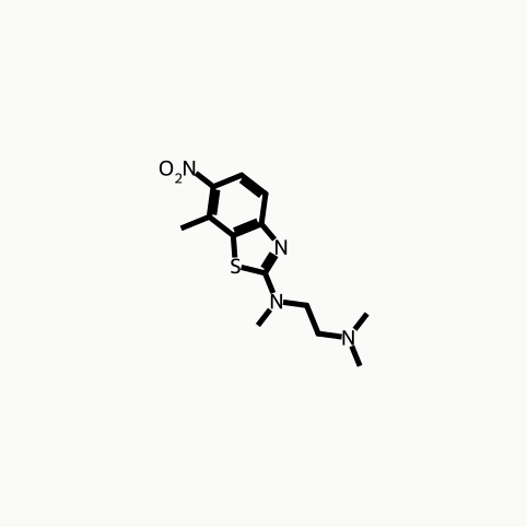 Cc1c([N+](=O)[O-])ccc2nc(N(C)CCN(C)C)sc12